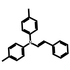 Cc1ccc(N([C]=Cc2ccccc2)c2ccc(C)cc2)cc1